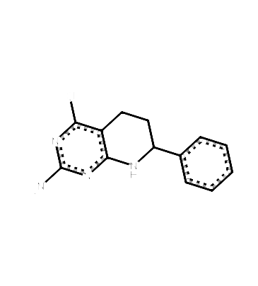 Nc1nc(Cl)c2c(n1)NC(c1ccccc1)CC2